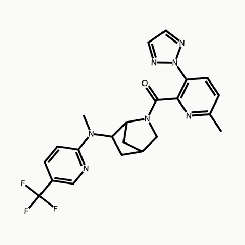 Cc1ccc(-n2nccn2)c(C(=O)N2CC3CC2C(N(C)c2ccc(C(F)(F)F)cn2)C3)n1